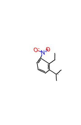 CCc1c([C](C)C)cccc1[N+](=O)[O-]